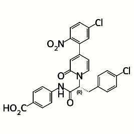 O=C(O)c1ccc(NC(=O)[C@@H](Cc2ccc(Cl)cc2)n2ccc(-c3cc(Cl)ccc3[N+](=O)[O-])cc2=O)cc1